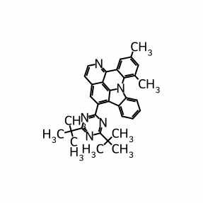 Cc1cc(C)c2c(c1)c1nccc3cc(-c4nc(C(C)(C)C)nc(C(C)(C)C)n4)c4c5ccccc5n2c4c31